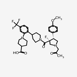 COc1ccc([C@@H]2CN(CC(C)=O)C[C@@]2(F)C(=O)N2CCC(c3ccc(C(F)(F)F)cc3N3CCC(C(=O)O)CC3)CC2)cc1